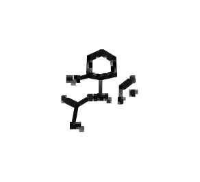 NC(=S)S.Nc1ccccc1N.S=C[S-].[K+]